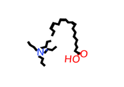 CC/C=C\C/C=C\C/C=C\CCCCCCCC(=O)O.CCCC[N+](CCCC)(CCCC)CCCC